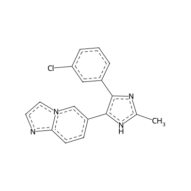 Cc1nc(-c2cccc(Cl)c2)c(-c2ccc3nccn3c2)[nH]1